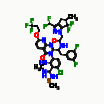 CNc1c(-n2c(C(Cc3cc(F)cc(F)c3)NC(=O)Cn3nc(C(F)F)c4c3C(F)(F)C(C)C4)nc3nc(OCCC(F)(F)F)ccc3c2=O)ccc(Cl)c1C(=N)NSC